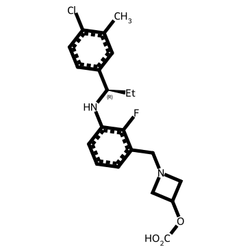 CC[C@@H](Nc1cccc(CN2CC(OC(=O)O)C2)c1F)c1ccc(Cl)c(C)c1